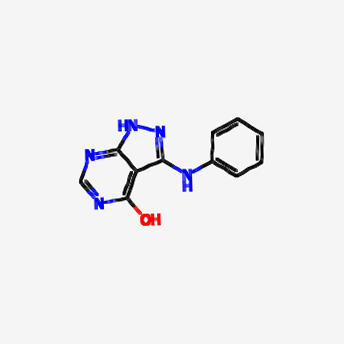 Oc1ncnc2[nH]nc(Nc3ccccc3)c12